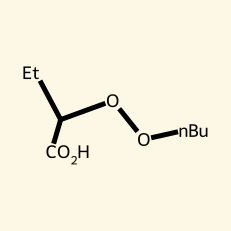 CCCCOOC(CC)C(=O)O